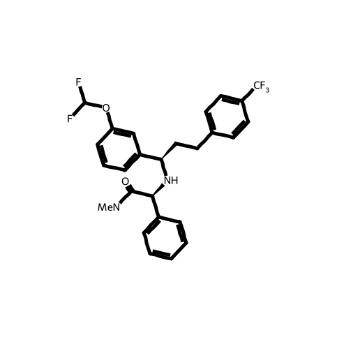 CNC(=O)[C@@H](N[C@H](CCc1ccc(C(F)(F)F)cc1)c1cccc(OC(F)F)c1)c1ccccc1